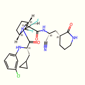 N#C[C@@H](C[C@H]1CCCNC1=O)NC(=O)[C@@H]1[C@H]2CC[C@H](CC2(F)F)N1C(=O)[C@H](CC1CC1)Nc1cccc(Cl)c1